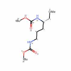 COC[C@H](CCCNC(=O)OC(C)(C)C)NC(=O)OC(C)(C)C